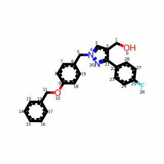 OCc1cn(Cc2ccc(OCc3ccccc3)cc2)nc1-c1ccc(F)cc1